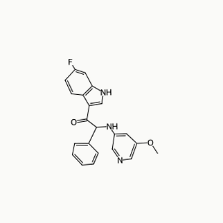 COc1cncc(NC(C(=O)c2c[nH]c3cc(F)ccc23)c2ccccc2)c1